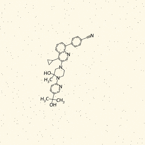 CC(C)(O)c1ccc(N2CCN(c3cnc4c(-c5ccc(C#N)cc5)cccc4c3C3CC3)CC2(C)O)nc1